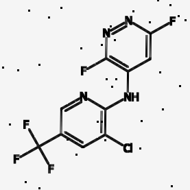 Fc1cc(Nc2ncc(C(F)(F)F)cc2Cl)c(F)nn1